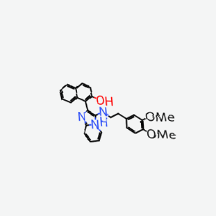 COc1ccc(CCNc2c(-c3c(O)ccc4ccccc34)nc3ccccn23)cc1OC